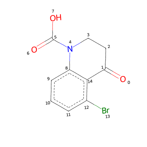 O=C1CCN(C(=O)O)c2cccc(Br)c21